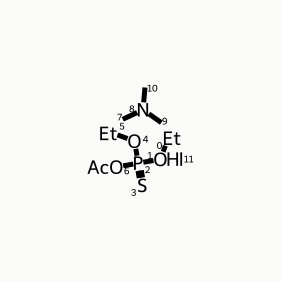 CCOP(=S)(OCC)OC(C)=O.CN(C)C.I